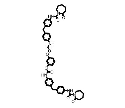 O=C(Nc1ccc(Cc2ccc(NC(=O)N3CCCCCC3=O)cc2)cc1)Oc1cccc(OOCNc2ccc(Cc3ccc(NC(=O)N4CCCCCC4=O)cc3)cc2)c1